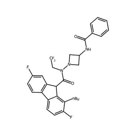 CCCCc1c(F)ccc2c1C(C(=O)N(CC(F)(F)F)N1CC(NC(=O)c3ccccc3)C1)c1cc(F)ccc1-2